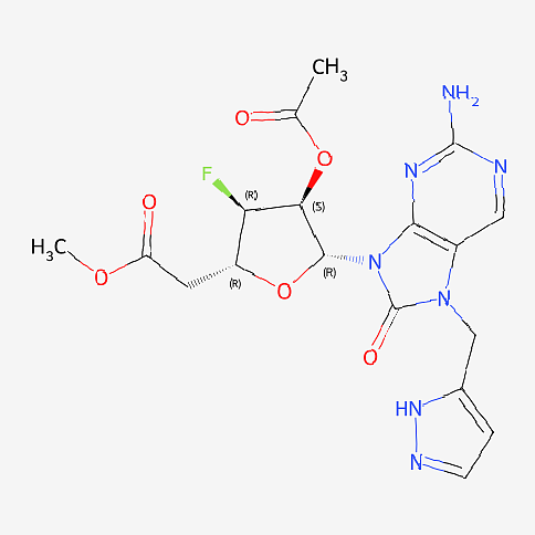 COC(=O)C[C@H]1O[C@@H](n2c(=O)n(Cc3ccn[nH]3)c3cnc(N)nc32)[C@H](OC(C)=O)[C@@H]1F